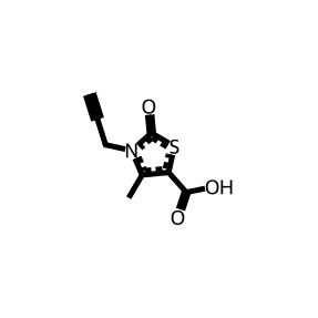 C#CCn1c(C)c(C(=O)O)sc1=O